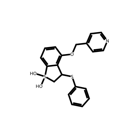 OS1(O)CC(Sc2ccccc2)c2c(OCc3ccncc3)cccc21